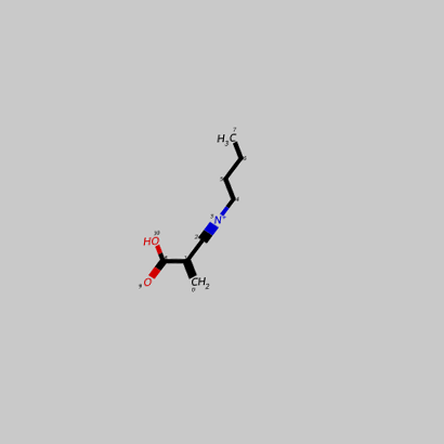 C=C(C#[N+]CCCC)C(=O)O